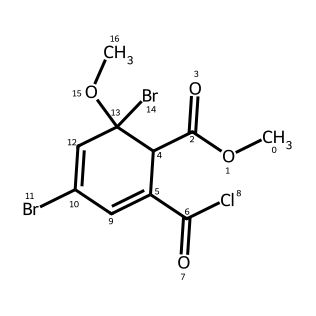 COC(=O)C1C(C(=O)Cl)=CC(Br)=CC1(Br)OC